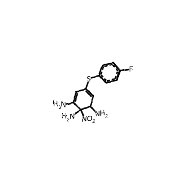 NC1=CC(Sc2ccc(F)cc2)=CC(N)C1(N)[N+](=O)[O-]